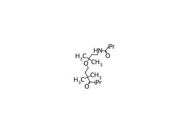 CC(C)C(=O)NCCC(C)(C)OCCC(C)(C)C(=O)C(C)C